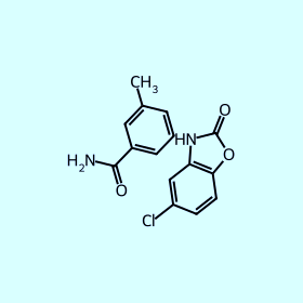 Cc1cccc(C(N)=O)c1.O=c1[nH]c2cc(Cl)ccc2o1